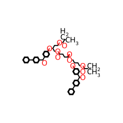 C=C(C)C(=O)OCCC(COC(=O)CCC(=O)OCC(CCOC(=O)C(=C)C)Oc1ccc(C(=O)c2ccc(-c3ccccc3)cc2)cc1)Oc1ccc(C(=O)c2ccc(-c3ccccc3)cc2)cc1